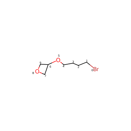 BrCCCCOC1COC1